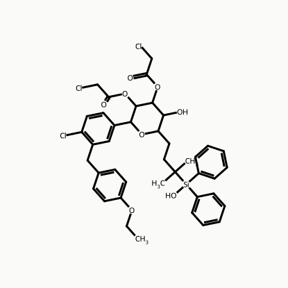 CCOc1ccc(Cc2cc(C3OC(CCC(C)(C)[Si](O)(c4ccccc4)c4ccccc4)C(O)C(OC(=O)CCl)C3OC(=O)CCl)ccc2Cl)cc1